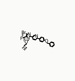 C[Si](C)(C)CCOCn1c(-c2ccc(-c3ccc(OCc4ccccc4)cc3)nc2)nc(Br)c1C(F)(F)F